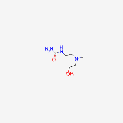 CN(CCO)CCNC(N)=O